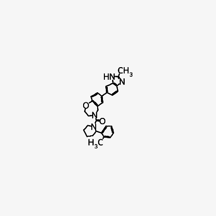 Cc1nc2ccc(-c3ccc4c(c3)CN(C(=O)N3CCCCC3c3ccccc3C)CCO4)cc2[nH]1